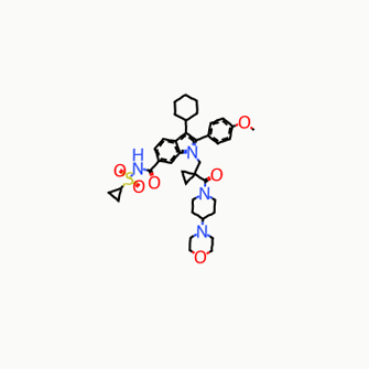 COc1ccc(-c2c(C3CCCCC3)c3ccc(C(=O)NS(=O)(=O)C4CC4)cc3n2CC2(C(=O)N3CCC(N4CCOCC4)CC3)CC2)cc1